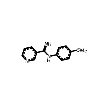 CSc1ccc(NC(=N)c2cccnc2)cc1